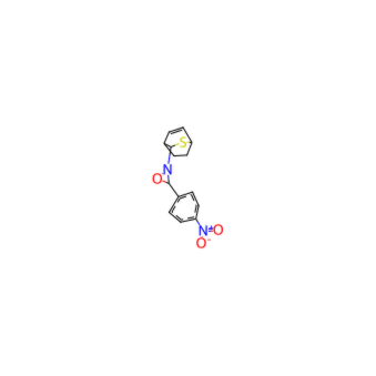 O=[N+]([O-])c1ccc(C2ON2C2SC3C=CC2CC3)cc1